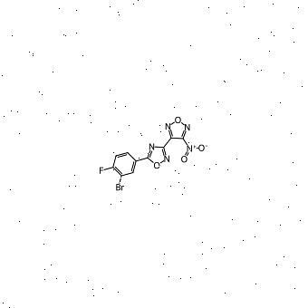 O=[N+]([O-])c1nonc1-c1noc(-c2ccc(F)c(Br)c2)n1